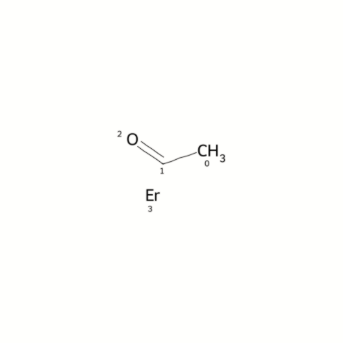 CC=O.[Er]